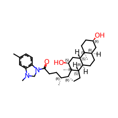 Cc1ccc2c(c1)N(C)CN2C(=O)CC[C@@H](C)[C@H]1CC[C@H]2[C@@H]3CC[C@@H]4C[C@H](O)CC[C@]4(C)[C@H]3C[C@H](O)[C@]12C